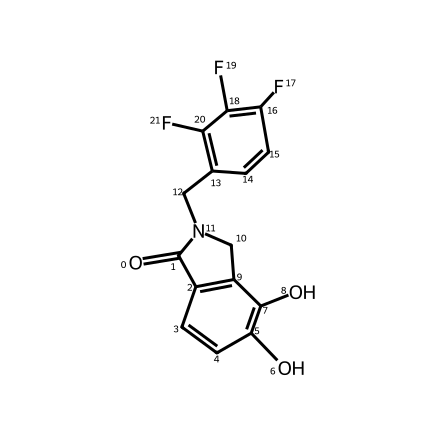 O=C1c2ccc(O)c(O)c2CN1Cc1ccc(F)c(F)c1F